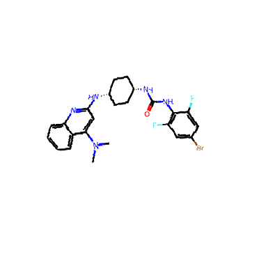 CN(C)c1cc(N[C@H]2CC[C@@H](NC(=O)Nc3c(F)cc(Br)cc3F)CC2)nc2ccccc12